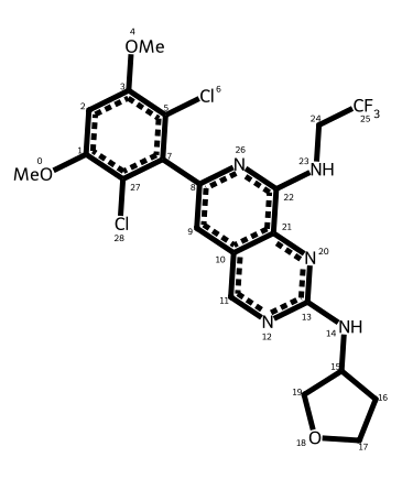 COc1cc(OC)c(Cl)c(-c2cc3cnc(NC4CCOC4)nc3c(NCC(F)(F)F)n2)c1Cl